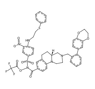 O=C(c1ccc2c(c1)CC[C@@H]1CN(Cc3ccccc3-c3ccc4c(c3)OCCO4)CCN21)N(OC(=O)C(F)(F)F)S(=O)(=O)c1ccc(NCCSc2ccccc2)c([N+](=O)[O-])c1